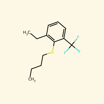 CCCCSc1c(CC)cccc1C(F)(F)F